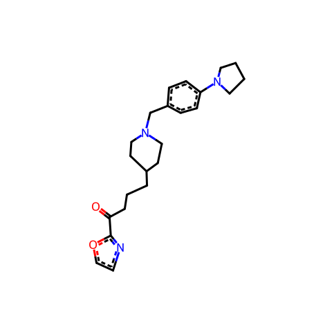 O=C(CCCC1CCN(Cc2ccc(N3CCCC3)cc2)CC1)c1ncco1